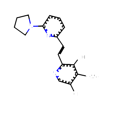 COc1c(C)cnc(C=Cc2cccc(N3CCCC3)n2)c1C